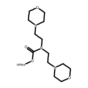 [CH2]CCCCCOC(=O)N(CCN1CCOCC1)CCN1CCOCC1